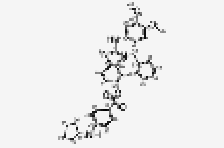 COc1ccc(Nc2nc3ccc(OS(=O)(=O)c4ccc(NC5CCCC5)cc4)cc3n2Cc2ccccc2)cc1OC